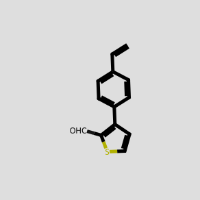 C=Cc1ccc(-c2ccsc2C=O)cc1